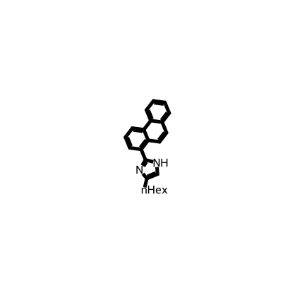 CCCCCCc1c[nH]c(-c2cccc3c2ccc2ccccc23)n1